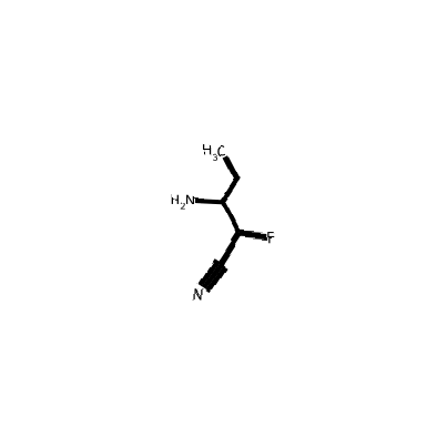 CCC(N)C(F)C#N